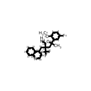 COc1ccc(F)cc1C(C)(C)CC(CN)(Cc1ccnc2ccccc12)C(F)(F)F